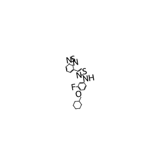 Fc1cc(Nc2nc(-c3cccc4nsnc34)cs2)ccc1OCC1CCCCC1